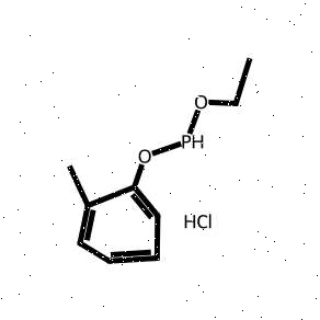 CCOPOc1ccccc1C.Cl